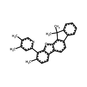 Cc1cnc(-c2c(C)ccc3c2oc2c4c(ccc23)-c2ccccc2C4(C)C)cc1C